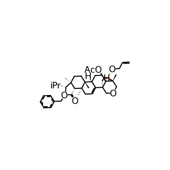 C=CCO[C@H]1[C@H](OC(C)=O)C[C@@]23COC[C@]1(C)[C@@H]2CC[C@H]1C3=CC[C@@]2(C)[C@H](C(=O)OCc3ccccc3)[C@@](C)([C@H](C)C(C)C)CC[C@]12C